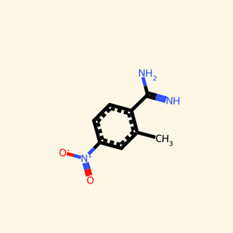 Cc1cc([N+](=O)[O-])ccc1C(=N)N